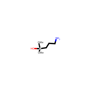 CO[Si](O)(CCCN)OC